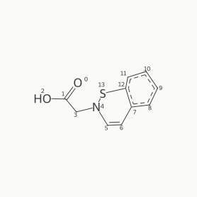 O=C(O)CN1C=Cc2ccccc2S1